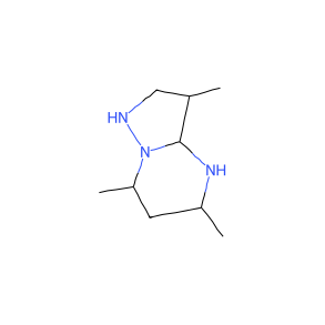 CC1CC(C)N2NCC(C)C2N1